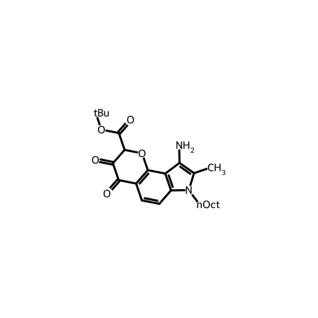 CCCCCCCCn1c(C)c(N)c2c3c(ccc21)C(=O)C(=O)C(C(=O)OC(C)(C)C)O3